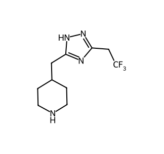 FC(F)(F)Cc1n[nH]c(CC2CCNCC2)n1